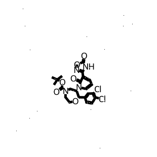 CC(C)(C)OC(=O)N1CCOC(c2ccc(Cl)c(Cl)c2)C(n2cccc(-c3noc(=O)[nH]3)c2=O)C1